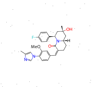 COc1cc(C=C2CC[C@H]3C[C@@](C)(O)C[C@H](c4ccc(F)cc4)N3C2=O)ccc1-n1cnc(C)c1